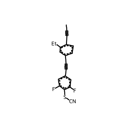 CC#Cc1ccc(C#Cc2cc(F)c(SC#N)c(F)c2)cc1CC